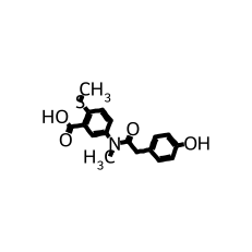 CSc1ccc(N(C)C(=O)Cc2ccc(O)cc2)cc1C(=O)O